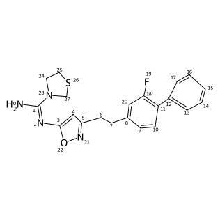 NC(=Nc1cc(CCc2ccc(-c3ccccc3)c(F)c2)no1)N1CCSC1